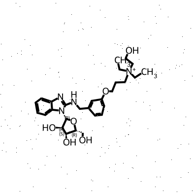 CC[N+](CC)(CCO)CCCOc1cccc(CNc2nc3ccccc3n2[C@@H]2O[C@H](CO)[C@@H](O)[C@H]2O)c1